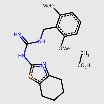 CC(=O)O.COc1cccc(OC)c1CNC(=N)Nc1nc2c(s1)CCCC2